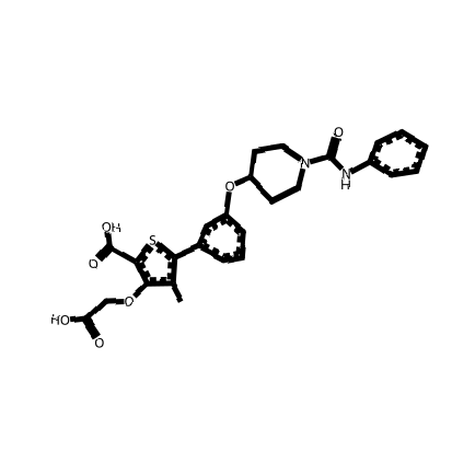 Cc1c(-c2cccc(OC3CCN(C(=O)Nc4ccccc4)CC3)c2)sc(C(=O)O)c1OCC(=O)O